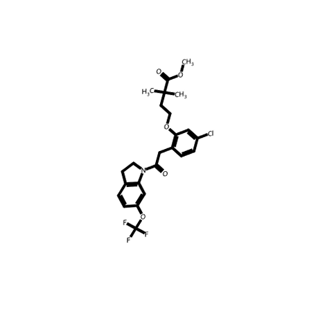 COC(=O)C(C)(C)CCOc1cc(Cl)ccc1CC(=O)N1CCc2ccc(OC(F)(F)F)cc21